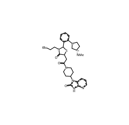 CN[C@H]1CCN(c2ccccc2C2SC(CC(=O)N3CCC(n4c(=O)[nH]c5ncccc54)CC3)C(=O)N2CCC(C)(C)C)C1